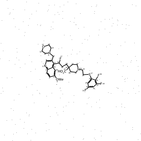 COc1ccc2ncc(CN3CCOCC3)c(C(F)CCC3(C(=O)O)CCN(CCSc4cc(F)cc(F)c4F)CC3)c2c1